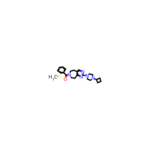 CSc1ccccc1C(=O)N1CCc2cnc(N3CCN(C4CCC4)CC3)nc2CC1